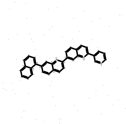 c1cncc(-c2ccc3ccc(-c4ccc5ccc(-c6cccc7ccccc67)cc5n4)cc3n2)c1